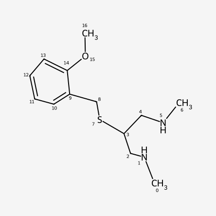 CNCC(CNC)SCc1ccccc1OC